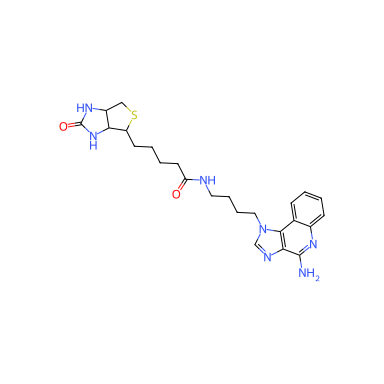 Nc1nc2ccccc2c2c1ncn2CCCCNC(=O)CCCCC1SCC2NC(=O)NC21